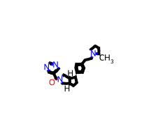 C[C@@H]1CCCN1CCc1ccc([C@@H]2CC[C@@H]3CN(C(=O)c4cncnc4)C[C@@H]32)cc1